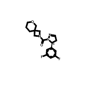 O=C(N1CC2(CCCOC2)C1)N1N=CC[C@H]1c1cc(F)cc(F)c1